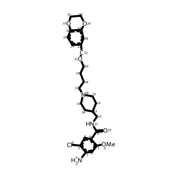 COc1cc(N)c(Cl)cc1C(=O)NCC1CCN(CCCCOCc2ccc3c(c2)OCCO3)CC1